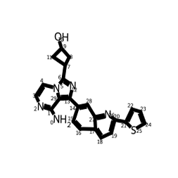 Nc1nccn2c(C3CC(O)C3)nc(-c3ccc4ccc(-c5cccs5)nc4c3)c12